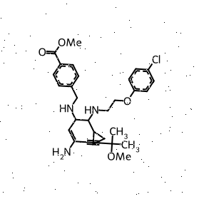 COC(=O)c1ccc(CNC(/C=C(/N)C#CC(C)(C)OC)C(NCCOc2ccc(Cl)cc2)C2CC2)cc1